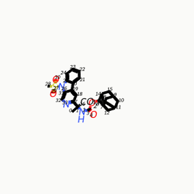 CC(NC(=O)OC1C2CC3CC(C2)CC1C3)(C(=O)O)c1cc2c3ccccc3n(S(C)(=O)=O)c2cn1